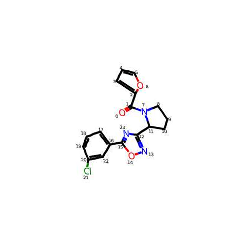 O=C(c1ccco1)N1CCCC1c1noc(-c2cccc(Cl)c2)n1